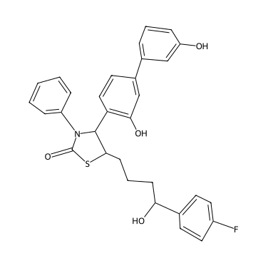 O=C1SC(CCCC(O)c2ccc(F)cc2)C(c2ccc(-c3cccc(O)c3)cc2O)N1c1ccccc1